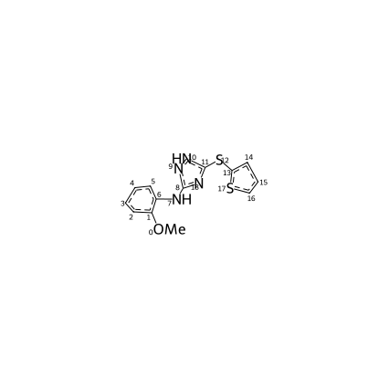 COc1ccccc1Nc1n[nH]c(Sc2cccs2)n1